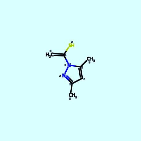 C=C(S)n1nc(C)cc1C